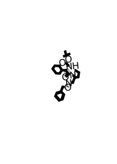 CC(C)(C)OC(=O)N[C@H](C(=O)N1CCCC1C=NOCc1ccccc1)C1CCCCC1